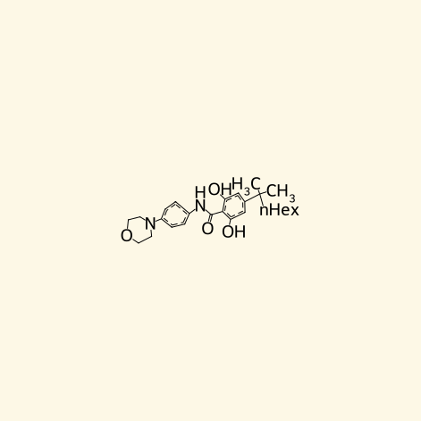 CCCCCCC(C)(C)c1cc(O)c(C(=O)Nc2ccc(N3CCOCC3)cc2)c(O)c1